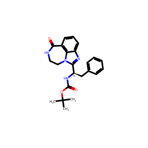 CC(C)(C)OC(=O)N[C@H](Cc1ccccc1)c1nc2cccc3c2n1CCNC3=O